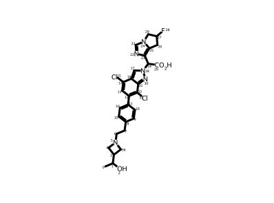 CC(O)C1CN(CCc2ccc(-c3cc(Cl)c4cn(C(C(=O)O)c5ncn6c5CC(F)C6)nc4c3Cl)cc2)C1